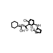 Cn1nccc1Nc1ccc(Cl)c(C(=O)NC(O)C2CCCCC2)c1